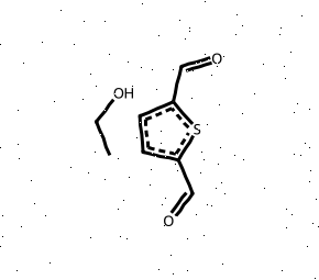 CCO.O=Cc1ccc(C=O)s1